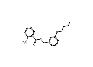 CCCCOc1cccc(CNC(=O)c2cccnc2N)c1